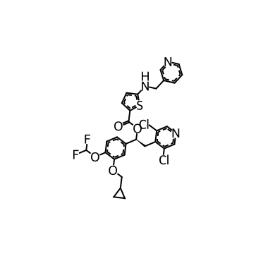 O=C(O[C@@H](Cc1c(Cl)cncc1Cl)c1ccc(OC(F)F)c(OCC2CC2)c1)c1ccc(NCc2cccnc2)s1